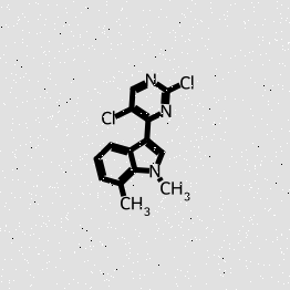 Cc1cccc2c(-c3nc(Cl)ncc3Cl)cn(C)c12